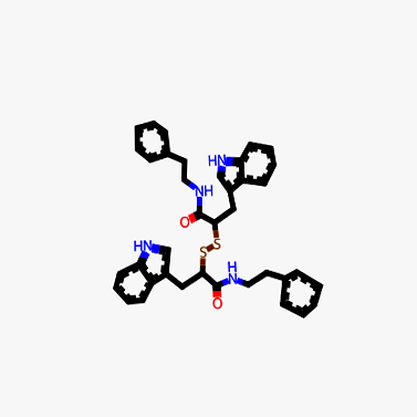 O=C(NCCc1ccccc1)C(Cc1c[nH]c2ccccc12)SSC(Cc1c[nH]c2ccccc12)C(=O)NCCc1ccccc1